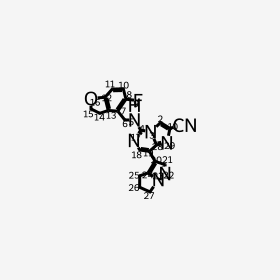 N#Cc1cn2c(NCc3c(F)ccc4c3CCO4)ncc(-c3cnn4c3CCC4)c2n1